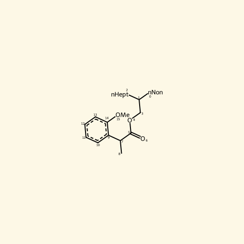 CCCCCCCCCC(CCCCCCC)COC(=O)C(C)c1ccccc1OC